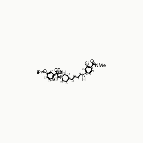 CNC(=O)c1ccc(NCCCCC2CCN(C(=O)C(O)(c3cccc(OC(C)C)c3)C(F)(F)F)CC2)cc1Cl